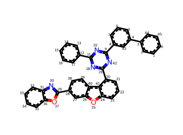 c1ccc(-c2cccc(-c3nc(-c4ccccc4)nc(-c4cccc5oc6cc(-c7nc8ccccc8o7)ccc6c45)n3)c2)cc1